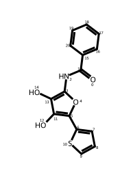 O=C(Nc1oc(-c2cccs2)c(O)c1O)c1ccccc1